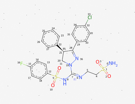 NS(=O)(=O)CC/N=C(/NS(=O)(=O)c1ccc(F)cc1)N1C[C@@H](c2ccccc2)C(c2ccc(Cl)cc2)=N1